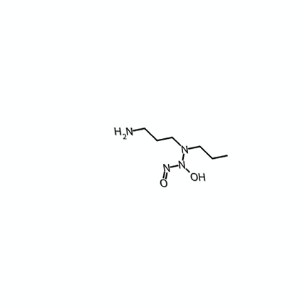 CCCN(CCCN)N(O)N=O